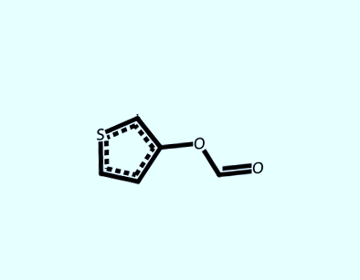 O=COc1[c]scc1